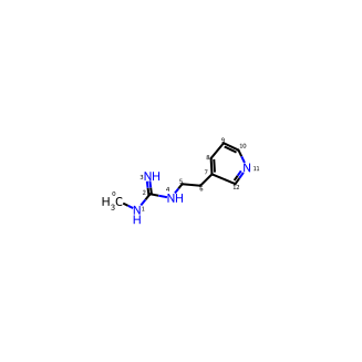 CNC(=N)NCCc1cccnc1